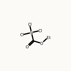 CCOC(=O)[Si](Cl)(Cl)Cl